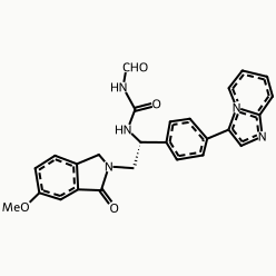 COc1ccc2c(c1)C(=O)N(C[C@H](NC(=O)NC=O)c1ccc(-c3cnc4ccccn34)cc1)C2